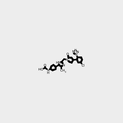 Cc1nc(Cn2ccc(-c3cc(Cl)ccc3-n3cnnn3)cc2=O)[nH]c1-c1ccc(NC(=O)O)cc1